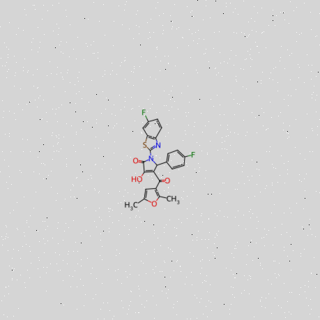 Cc1cc(C(=O)C2=C(O)C(=O)N(c3nc4ccc(F)cc4s3)C2c2ccc(F)cc2)c(C)o1